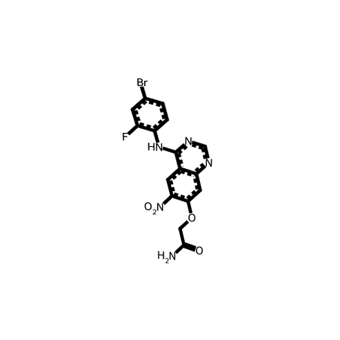 NC(=O)COc1cc2ncnc(Nc3ccc(Br)cc3F)c2cc1[N+](=O)[O-]